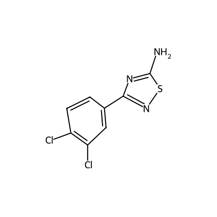 Nc1nc(-c2ccc(Cl)c(Cl)c2)ns1